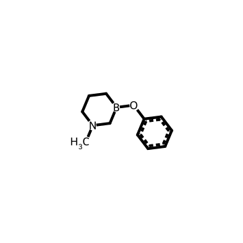 CN1CCCB(Oc2ccccc2)C1